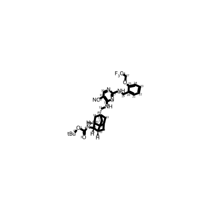 CC(C)(C)OC(=O)N[C@@H]1[C@@H]2CC3C[C@H]1C[C@](CNc1nc(NCc4ccccc4OCC(F)(F)F)ncc1C#N)(C3)C2